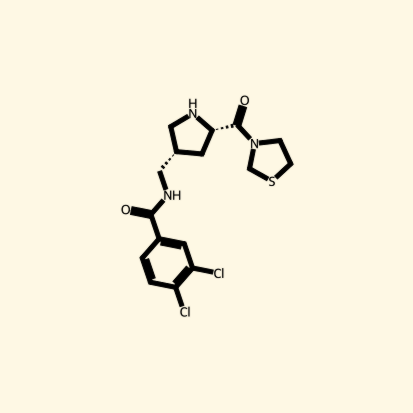 O=C(NC[C@@H]1CN[C@H](C(=O)N2CCSC2)C1)c1ccc(Cl)c(Cl)c1